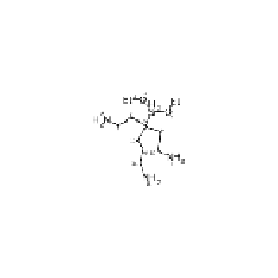 CCO[SiH](OCC)C(CCN)(CCN)CCCN